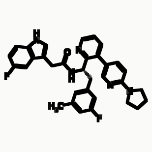 Cc1cc(F)cc(C[C@H](NC(=O)Cc2c[nH]c3ccc(F)cc23)c2ncccc2-c2ccc(N3CCCC3)nc2)c1